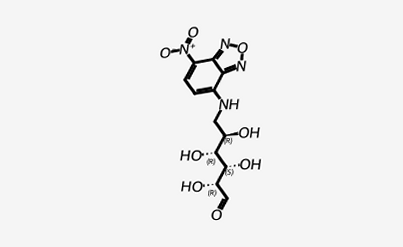 O=C[C@H](O)[C@@H](O)[C@H](O)[C@H](O)CNc1ccc([N+](=O)[O-])c2nonc12